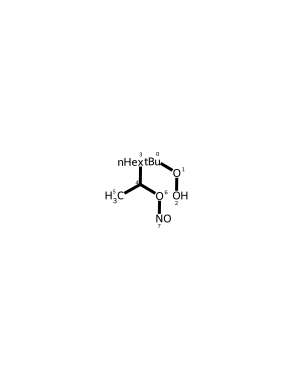 CC(C)(C)OO.CCCCCCC(C)ON=O